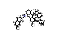 Clc1ccc(C(c2cccc(/C=C/c3ccc4ccc(Cl)cc4n3)c2)n2ccc3cccc(OCn4cnnn4)c32)cc1